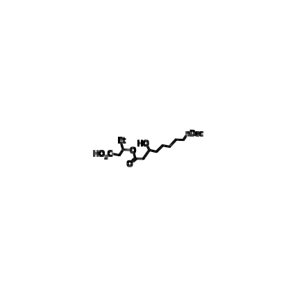 CCCCCCCCCCCCCCCC(O)CC(=O)OC(CC)CC(=O)O